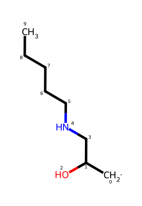 [CH2]C(O)CNCCCCC